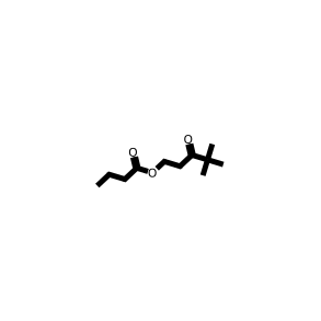 CCCC(=O)OCCC(=O)C(C)(C)C